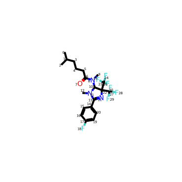 CC(C)CCCC(=O)N(C)C1N(C)C(c2ccc(F)cc2)=NC1(C(F)(F)F)C(F)(F)F